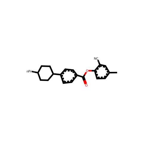 CCCC1CCC(c2ccc(C(=O)Oc3ccc(C)cc3C#N)cc2)CC1